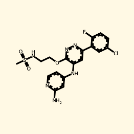 CS(=O)(=O)NCCOc1nnc(-c2cc(Cl)ccc2F)cc1Nc1ccnc(N)c1